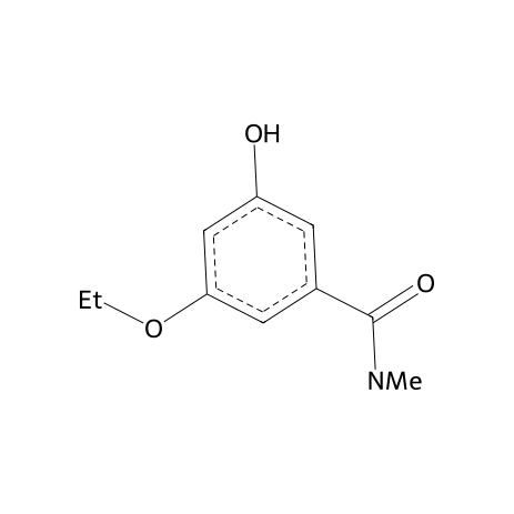 CCOc1cc(O)cc(C(=O)NC)c1